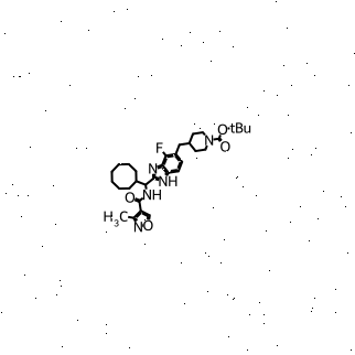 Cc1nocc1C(=O)NC(c1nc2c(F)c(CC3CCN(C(=O)OC(C)(C)C)CC3)ccc2[nH]1)C1CCCCCCC1